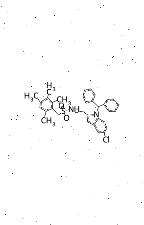 Cc1cc(C)c(CS(=O)(=O)NCCc2cc3cc(Cl)ccc3n2C(c2ccccc2)c2ccccc2)c(C)c1C